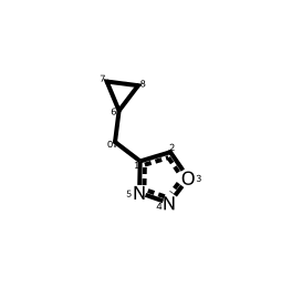 [CH](c1conn1)C1CC1